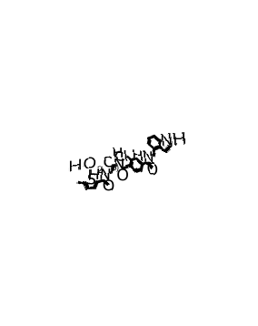 Cc1ccc(C(=O)NC[C@H](NC(=O)c2ccc(C(=O)NCc3cccc4[nH]ccc34)cc2Cl)C(=O)O)s1